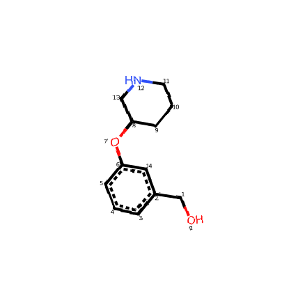 OCc1cccc(OC2CCCNC2)c1